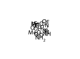 COc1cc(Nc2ncc3c(n2)-c2ccc(Cl)cc2C(c2c(F)cccc2OC)=NC3)ccc1C(N)=O.O=C(O)C(F)(F)F